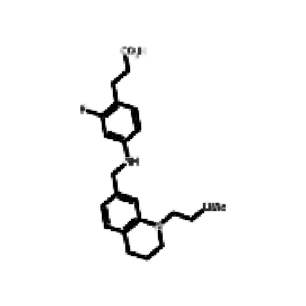 COCCN1CCCc2ccc(CNc3ccc(CCC(=O)O)c(F)c3)cc21